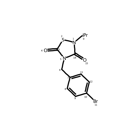 CC(C)n1sc(=O)n(Cc2ccc(Br)cc2)c1=O